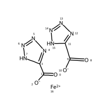 O=C([O-])c1nnn[nH]1.O=C([O-])c1nnn[nH]1.[Fe+2]